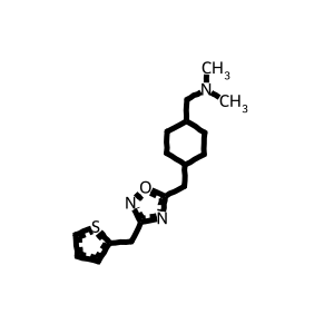 CN(C)CC1CCC(Cc2nc(Cc3cccs3)no2)CC1